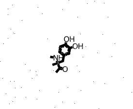 CNC(C)(Cc1ccc(O)c(O)c1)C(C)=O